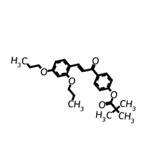 CCCOc1ccc(C=CC(=O)c2ccc(OC(=O)C(C)(C)C)cc2)c(OCCC)c1